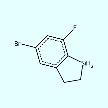 Fc1cc(Br)cc2c1[SiH2]CC2